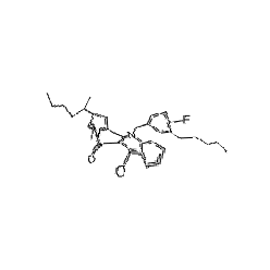 CCCCCc1cc(Cn2c3c(c(=O)c4ccccc42)C(=O)n2cc(C(C)CCCC)cc2-3)ccc1F